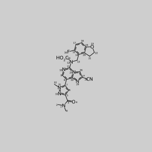 CN(C)C(=O)c1cc(-c2cnc(N(Cc3c(F)ccc4c3CCO4)C(=O)O)n3cc(C#N)nc23)n(C)n1